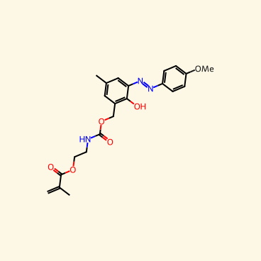 C=C(C)C(=O)OCCNC(=O)OCc1cc(C)cc(N=Nc2ccc(OC)cc2)c1O